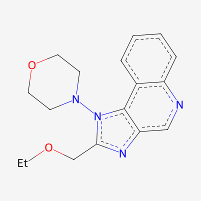 CCOCc1nc2cnc3ccccc3c2n1N1CCOCC1